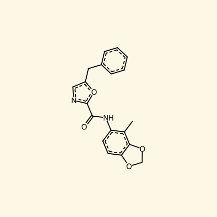 Cc1c(NC(=O)c2ncc(Cc3ccccc3)o2)ccc2c1OCO2